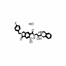 CCOc1cc2c(cc1C(=O)NC[C@@H](O)[C@@H]1Cc3ccccc3CN1)CN(Cc1ccc(F)cc1)C2=O.Cl